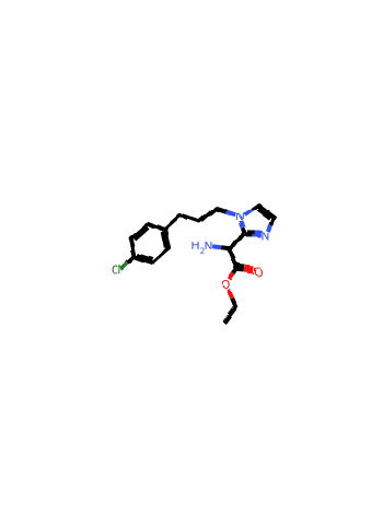 CCOC(=O)C(N)c1nccn1CCCc1ccc(Cl)cc1